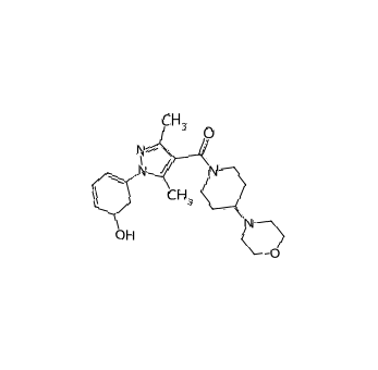 Cc1nn(C2=CC=CC(O)C2)c(C)c1C(=O)N1CCC(N2CCOCC2)CC1